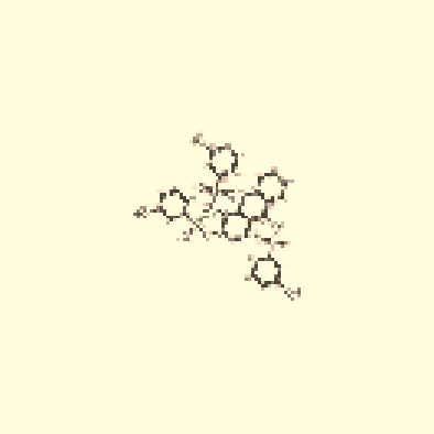 O=S(=O)(Oc1ccc2c(OS(=O)(=O)c3cccc(O)c3)c3ccccc3cc2c1OS(=O)(=O)c1cccc(O)c1)c1cccc(O)c1